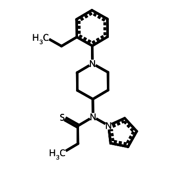 CCC(=S)N(C1CCN(c2ccccc2CC)CC1)n1cccc1